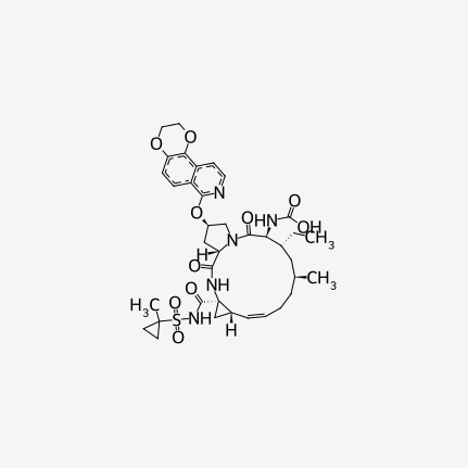 CC[C@@H]1C[C@@H](C)CCC=C[C@@H]2C[C@@]2(C(=O)NS(=O)(=O)C2(C)CC2)NC(=O)[C@@H]2C[C@@H](Oc3nccc4c5c(ccc34)OCCO5)CN2C(=O)[C@H]1NC(=O)O